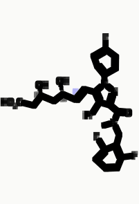 CC(C)c1c(C(=O)N(C)Cc2c(F)cccc2F)nn(-c2ccc(F)cc2)c1/C=C/[C@@H](O)C[C@@H](O)CC(=O)O